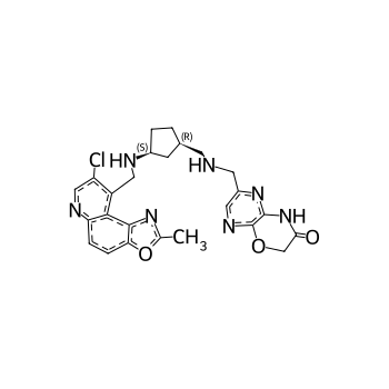 Cc1nc2c(ccc3ncc(Cl)c(CN[C@H]4CC[C@@H](CNCc5cnc6c(n5)NC(=O)CO6)C4)c32)o1